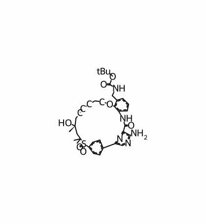 CC(C)(C)OC(=O)NCc1cccc2c1OCCCCCC[C@@](C)(O)CC(C)(C)S(=O)(=O)c1ccc(cc1)-c1cnc(N)c(n1)C(=O)N2